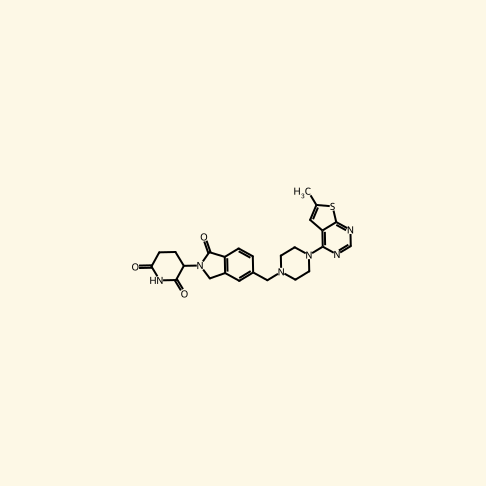 Cc1cc2c(N3CCN(Cc4ccc5c(c4)CN(C4CCC(=O)NC4=O)C5=O)CC3)ncnc2s1